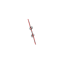 CCCCCCCCCCCCCCCCCC(=O)OCCCCCCCCCCCCOC(=O)CCCCCCCCCCCCCCCCC